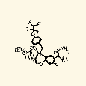 CC(C)(C)OC(=O)N[C@H]1CSc2cc(F)c(C(=N)NN)cc2N(Cc2ccc(OC(F)(F)C(F)F)cc2)C1=O